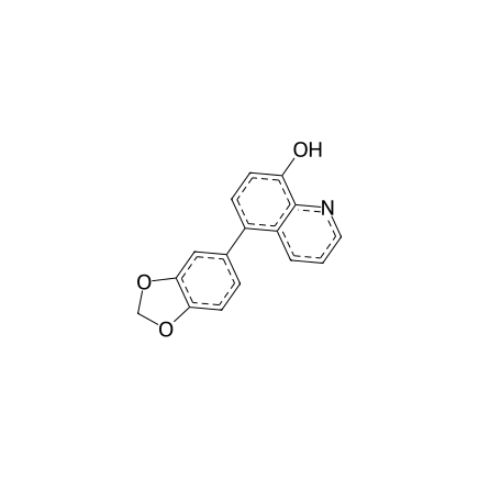 Oc1ccc(-c2ccc3c(c2)OCO3)c2cccnc12